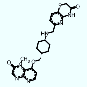 Cn1c(=O)cnc2nccc(OC[C@H]3CC[C@H](NCc4ccc5c(n4)NC(=O)CS5)CC3)c21